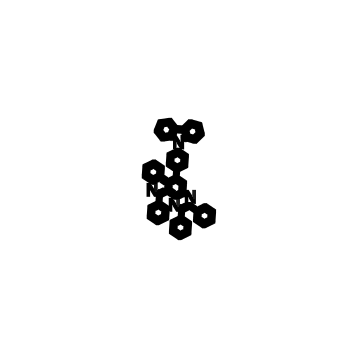 c1ccc(-c2nc3cc(-c4ccc(-n5c6ccccc6c6ccccc65)cc4)c4c5ccccc5nc(-c5ccccc5)c4c3nc2-c2ccccc2)cc1